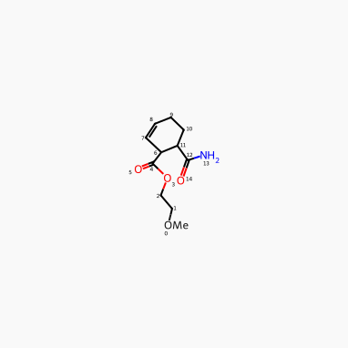 COCCOC(=O)C1C=CCCC1C(N)=O